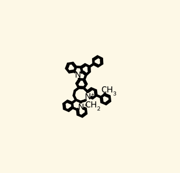 C=C1C2C(CCc3cc4c(cc3-c3ccc(-c5ccccc5C)c[n+]31)c1cc(-c3ccccc3)cc3c5ccccc5n4c31)c1ccccc1-c1cccc[n+]12